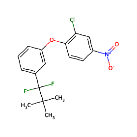 CC(C)(C)C(F)(F)c1cccc(Oc2ccc([N+](=O)[O-])cc2Cl)c1